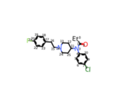 CCC(=O)N(c1ccc(Cl)cc1)C1CCN(CCc2ccc(F)cc2)CC1